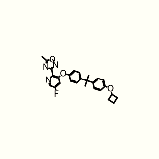 Cc1nc(-c2ncc(F)cc2Oc2ccc(C(C)(C)c3ccc(OC4CCC4)cc3)cc2)no1